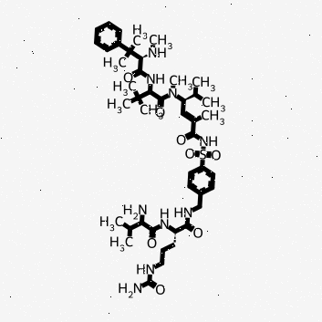 CN[C@H](C(=O)NC(C(=O)N(C)[C@H](/C=C(\C)C(=O)NS(=O)(=O)c1ccc(CNC(=O)[C@H](CCCNC(N)=O)NC(=O)C(N)C(C)C)cc1)C(C)C)C(C)(C)C)C(C)(C)c1ccccc1